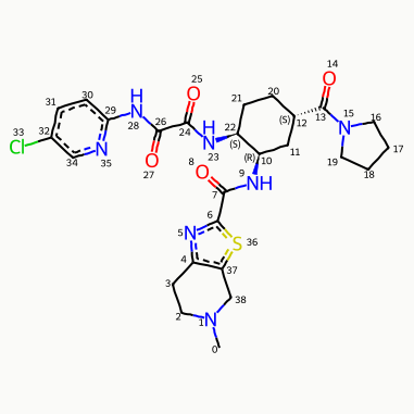 CN1CCc2nc(C(=O)N[C@@H]3C[C@@H](C(=O)N4CCCC4)CC[C@@H]3NC(=O)C(=O)Nc3ccc(Cl)cn3)sc2C1